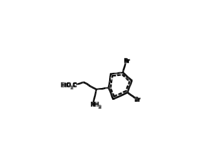 CCOC(=O)CC(N)c1cc(Br)cc(Br)c1